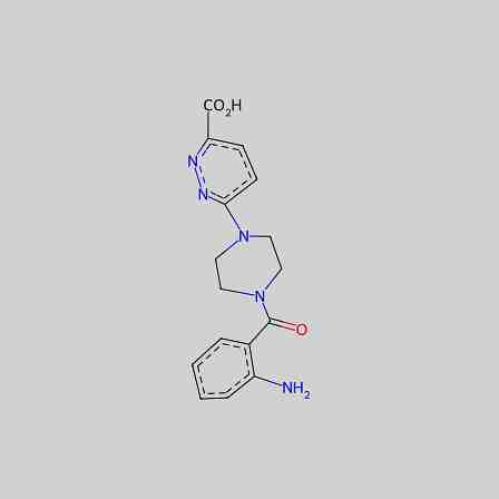 Nc1ccccc1C(=O)N1CCN(c2ccc(C(=O)O)nn2)CC1